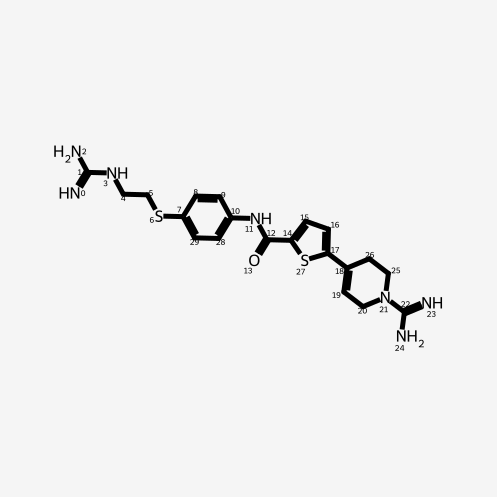 N=C(N)NCCSc1ccc(NC(=O)c2ccc(C3=CCN(C(=N)N)CC3)s2)cc1